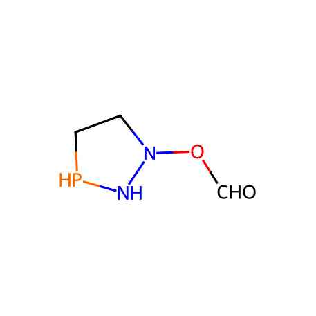 O=CON1CCPN1